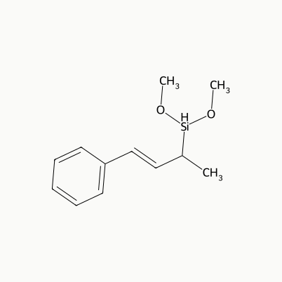 CO[SiH](OC)C(C)C=Cc1ccccc1